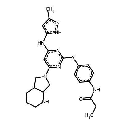 CCC(=O)Nc1ccc(Sc2nc(Nc3cc(C)n[nH]3)cc(N3CC4CCCNC4C3)n2)cc1